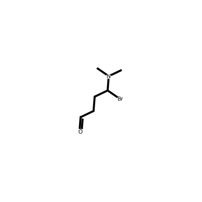 CN(C)C(Br)CCC=O